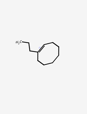 [CH2]CC/C1=C/CCCCCC1